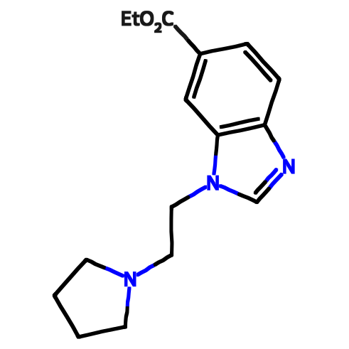 CCOC(=O)c1ccc2ncn(CCN3CCCC3)c2c1